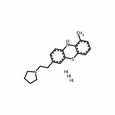 Cc1cccc2c1Nc1ccc(CCN3CCCC3)cc1S2.I.I.I